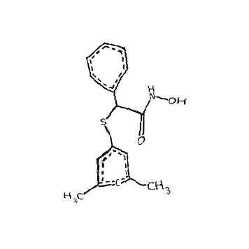 Cc1cc(C)cc(SC(C(=O)NO)c2ccccc2)c1